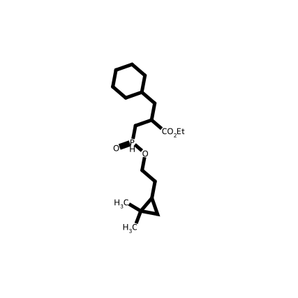 CCOC(=O)C(CC1CCCCC1)C[PH](=O)OCCC1CC1(C)C